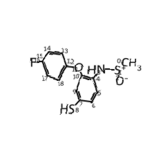 C[S+]([O-])Nc1ccc(S)cc1Oc1ccc(F)cc1